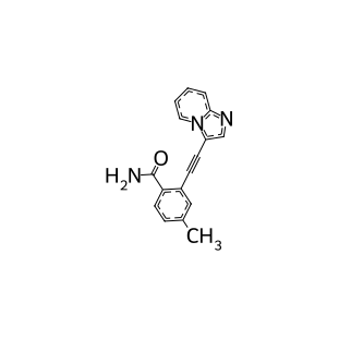 Cc1ccc(C(N)=O)c(C#Cc2cnc3ccccn23)c1